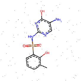 Cc1cccc(S(=O)(=O)Nc2ncc(N)c(O)n2)c1O